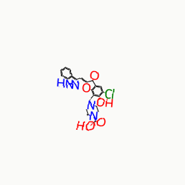 O=C1/C(=C/c2n[nH]c3ccccc23)Oc2c1cc(Cl)c(O)c2CN1CCN(C(=O)O)CC1